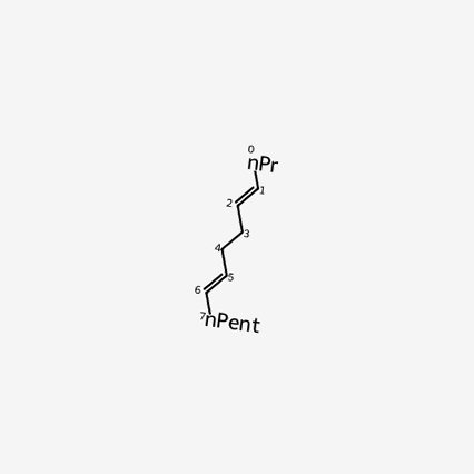 CCCC=CCCC=CCCCCC